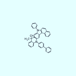 CC1(C)c2ccccc2N(c2ccc(-c3ccccc3)cc2)c2cc3c4c5ccccc5ccc4n(-c4ccccc4)c3cc21